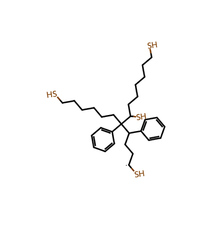 S[CH]CCC(c1ccccc1)C(CCCCCCS)([C](S)CCCCCCS)c1ccccc1